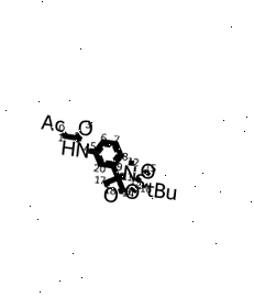 CC(=O)CC(=O)Nc1cccc(C2(N(C)S(=O)(=O)C(C)(C)C)COC2)c1